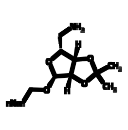 CCCCCCCCCCO[C@H]1O[C@H](CN)[C@@H]2OC(C)(C)O[C@H]12